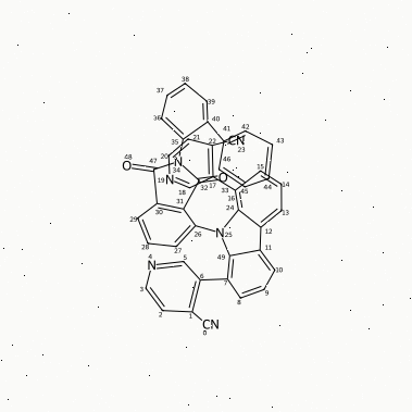 N#Cc1ccncc1-c1cccc2c3cccc(-c4cnccc4C#N)c3n(-c3cccc4c3C(=O)N(c3ccccc3-c3ccccc3)C4=O)c12